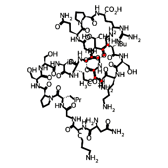 CC[C@H](C)[C@H](NC(=O)[C@H](CO)NC(=O)[C@H](CO)NC(=O)[C@@H]1CCCN1C(=O)[C@H](CC(C)C)NC(=O)CNC(=O)[C@H](CCCCN)NC(=O)[C@@H](N)CC(N)=O)C(=O)N[C@@H](CCC(=O)O)C(=O)N[C@@H](CCCCN)C(=O)N[C@H](C(=O)N[C@H](C(=O)N[C@@H](CO)C(=O)N[C@@H](CCCCN)C(=O)N[C@@H](C)C(=O)N[C@@H](CCCCN)C(=O)NCC(=O)N[C@@H](CCC(N)=O)C(=O)N1CCC[C@H]1C(=O)N[C@@H](CCCNC(=N)N)C(=O)O)[C@@H](C)CC)[C@@H](C)O